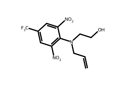 C=CCN(CCO)c1c([N+](=O)[O-])cc(C(F)(F)F)cc1[N+](=O)[O-]